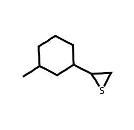 CC1CCCC(C2CS2)C1